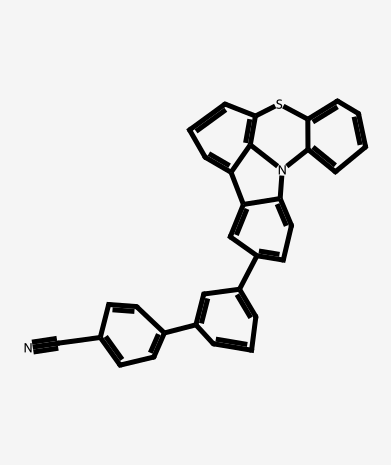 N#Cc1ccc(-c2cccc(-c3ccc4c(c3)c3cccc5c3n4-c3ccccc3S5)c2)cc1